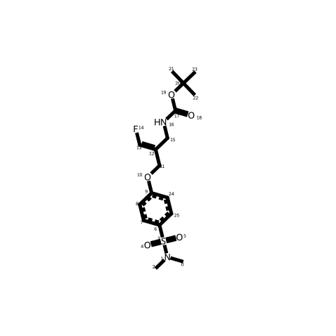 CN(C)S(=O)(=O)c1ccc(OCC(=CF)CNC(=O)OC(C)(C)C)cc1